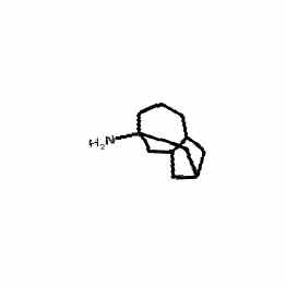 NC12CCCC3CC(CC3C1)C2